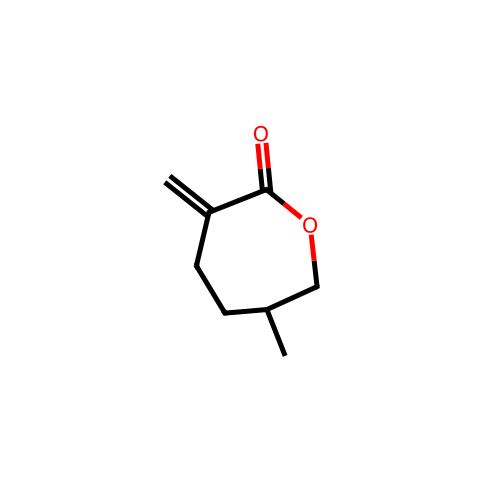 C=C1CCC(C)COC1=O